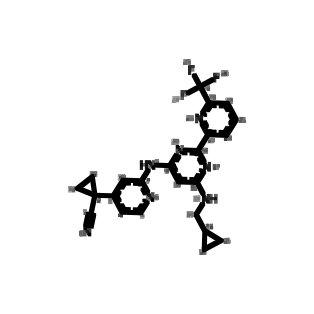 N#CC1(c2ccnc(Nc3cc(NCC4CC4)nc(-c4cccc(C(F)(F)F)n4)n3)c2)CC1